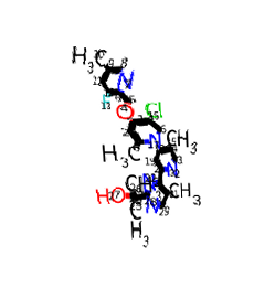 CC1=CC(OCc2ncc(C)cc2F)=C(Cl)CN1c1cc(-c2nc(C(C)(C)O)ncc2C)ncc1C